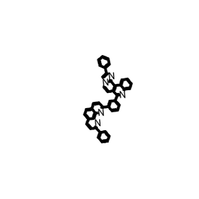 c1ccc(-c2ccc3ccc4ccc(-c5cccc(-c6nc7ccccc7c7c6ccn6cc(-c8ccccc8)nc76)c5)nc4c3n2)cc1